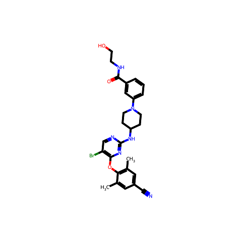 Cc1cc(C#N)cc(C)c1Oc1nc(NC2CCN(c3cccc(C(=O)NCCO)c3)CC2)ncc1Br